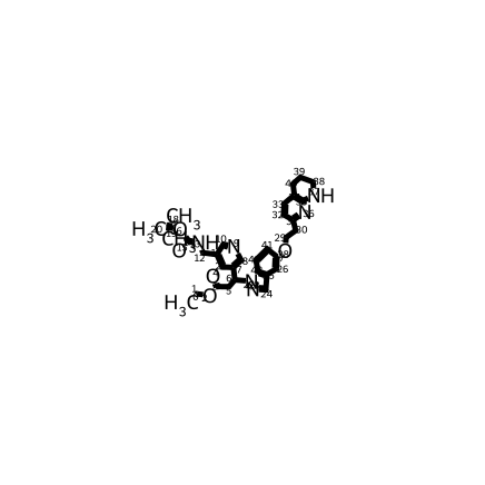 CCOC(=O)CC(c1cncc(CNC(=O)OC(C)(C)C)c1)n1ncc2cc(OCCc3ccc4c(n3)NCCC4)ccc21